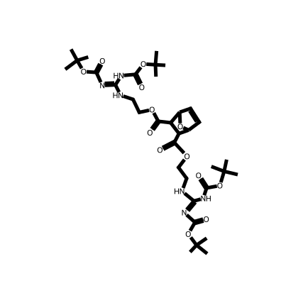 CC(C)(C)OC(=O)/N=C(/NCCOC(=O)C1C2C=CC(O2)C1C(=O)OCCN/C(=N/C(=O)OC(C)(C)C)NC(=O)OC(C)(C)C)NC(=O)OC(C)(C)C